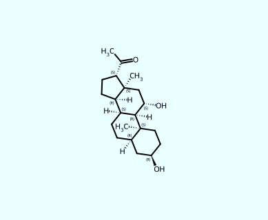 CC(=O)[C@H]1CC[C@@H]2[C@@H]3CC[C@@H]4C[C@H](O)CC[C@]4(C)[C@@H]3[C@@H](O)C[C@]12C